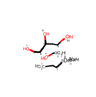 CCCCCCCCCCCC(=O)O.O=S(=O)(O)O.OCC(O)CO.[NaH]